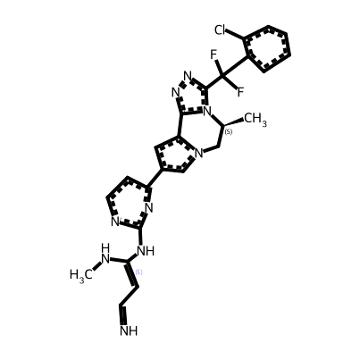 CN/C(=C\C=N)Nc1nccc(-c2cc3n(c2)C[C@H](C)n2c-3nnc2C(F)(F)c2ccccc2Cl)n1